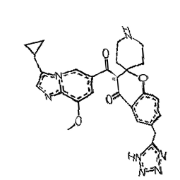 COc1cc(C(=O)[C@@H]2C(=O)c3cc(-c4nnn[nH]4)ccc3OC23CCNCC3)cn2c(C3CC3)cnc12